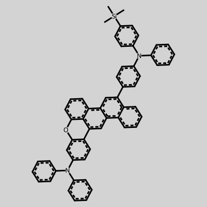 C[Si](C)(C)c1ccc(N(c2ccccc2)c2ccc(-c3cc4c5cccc6c5c(cc4c4ccccc34)-c3ccc(N(c4ccccc4)c4ccccc4)cc3O6)cc2)cc1